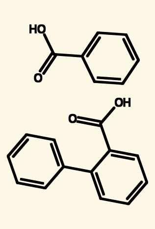 O=C(O)c1ccccc1.O=C(O)c1ccccc1-c1ccccc1